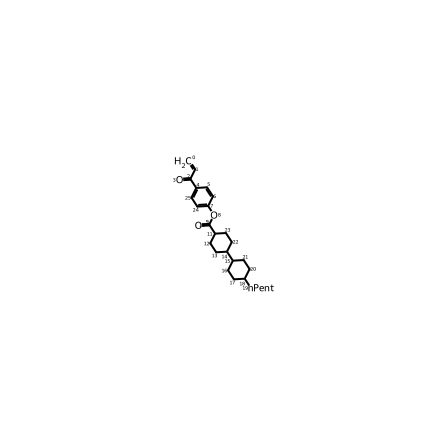 C=CC(=O)c1ccc(OC(=O)C2CCC(C3CCC(CCCCC)CC3)CC2)cc1